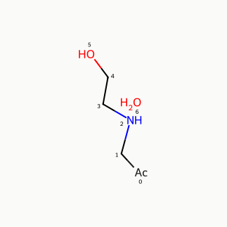 CC(=O)CNCCO.O